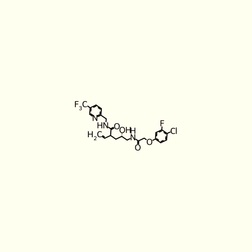 C=CC(C[C@H](O)CNC(=O)COc1ccc(Cl)c(F)c1)C(=O)NCc1ccc(C(F)(F)F)cn1